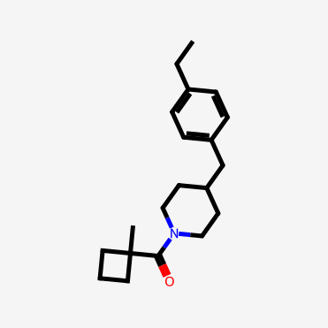 CCc1ccc(CC2CCN(C(=O)C3(C)CCC3)CC2)cc1